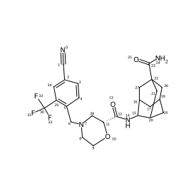 N#Cc1ccc(CN2CCO[C@@H](C(=O)NC3C4CC5CC3CC(C(N)=O)(C5)C4)C2)c(C(F)(F)F)c1